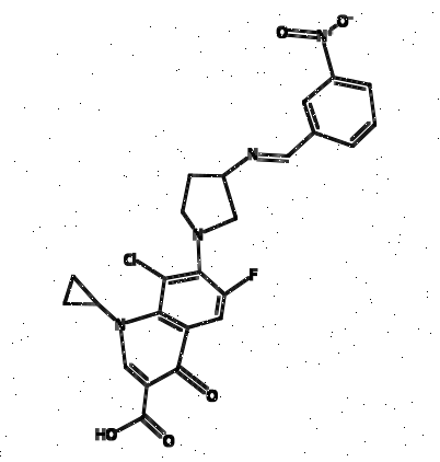 O=C(O)c1cn(C2CC2)c2c(Cl)c(N3CCC(N=Cc4cccc([N+](=O)[O-])c4)C3)c(F)cc2c1=O